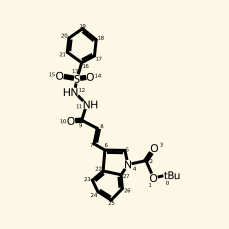 CC(C)(C)OC(=O)n1cc(C=CC(=O)NNS(=O)(=O)c2ccccc2)c2ccccc21